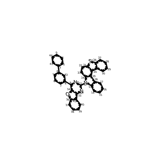 c1ccc(-c2cccc(-c3nc(-n4c5ccccc5c5c6c(ccc54)sc4ccccc46)nc4c3oc3ccccc34)c2)cc1